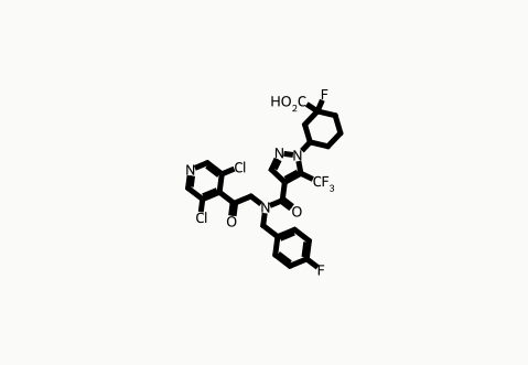 O=C(CN(Cc1ccc(F)cc1)C(=O)c1cnn(C2CCCC(F)(C(=O)O)C2)c1C(F)(F)F)c1c(Cl)cncc1Cl